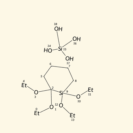 CCOC1(OCC)CCCC[Si]1(OCC)OCC.O[Si](O)(O)O